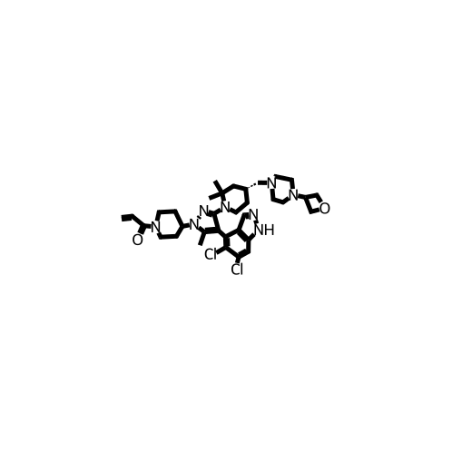 C=CC(=O)N1CCC(n2nc(N3CC[C@@H](CN4CCN(C5COC5)CC4)CC3(C)C)c(-c3c(Cl)c(Cl)cc4[nH]ncc34)c2C)CC1